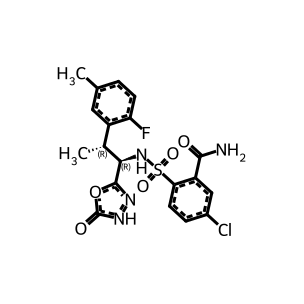 Cc1ccc(F)c([C@@H](C)[C@@H](NS(=O)(=O)c2ccc(Cl)cc2C(N)=O)c2n[nH]c(=O)o2)c1